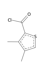 Cc1csc(C(=O)Cl)c1C